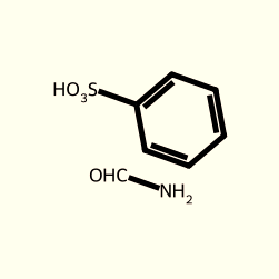 NC=O.O=S(=O)(O)c1ccccc1